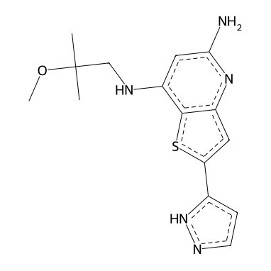 COC(C)(C)CNc1cc(N)nc2cc(-c3ccn[nH]3)sc12